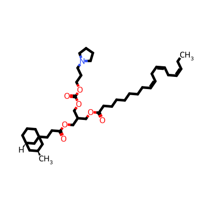 CC/C=C\C/C=C\C/C=C\CCCCCCCC(=O)OCC(COC(=O)CCC12CCC[C@H](C[C@H](C)C1)C2)COC(=O)OCCCN1CCCC1